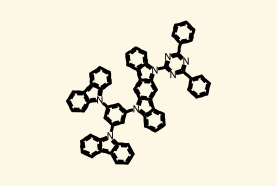 c1ccc(-c2nc(-c3ccccc3)nc(-n3c4ccccc4c4cc5c(cc43)c3ccccc3n5-c3cc(-n4c5ccccc5c5ccccc54)cc(-n4c5ccccc5c5ccccc54)c3)n2)cc1